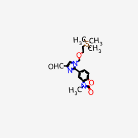 Cn1c(=O)oc2ccc(-c3nc(C=O)cn3COCCS(C)(C)C)cc21